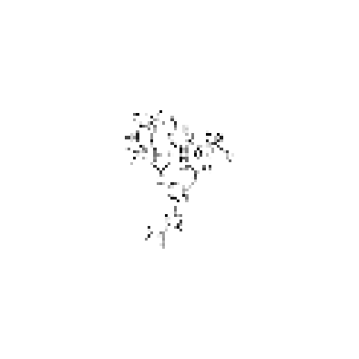 C=C[C@@H]1C[C@]1(NC(=O)[C@@H]1C[C@@H](Oc2cc(-c3csc(NC(C)C)n3)nc3cc(OC)ccc23)CN1C(=O)[C@@H](NC(=O)OC(C)(C)C)C(C)(C)C)C(=O)NS(=O)(=O)C1CC1